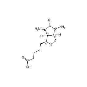 NN1C(=O)N(N)[C@H]2CS[C@@H](CCCCC(=O)O)[C@H]21